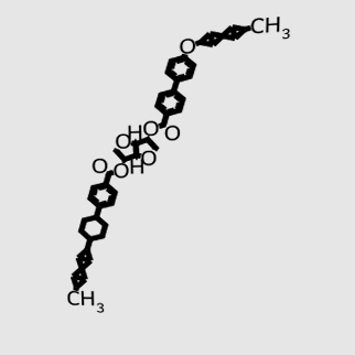 CC1C2C1C21C2C(Oc3ccc(-c4ccc(C(=O)O[C@@H]5CO[C@@H]6[C@H]5OC[C@@H]6OC(=O)c5ccc(C6CCC(C7C8C7C87C8C(C)C87)CC6)cc5)cc4)cc3)C21